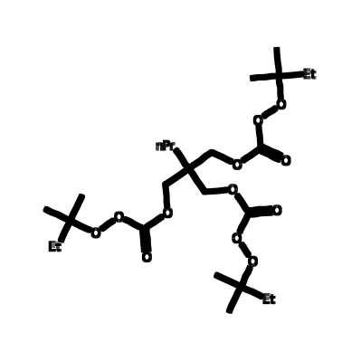 CCCC(COC(=O)OOC(C)(C)CC)(COC(=O)OOC(C)(C)CC)COC(=O)OOC(C)(C)CC